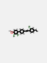 CCc1ccc(C#Cc2ccc(-c3ccc(OC)c(F)c3F)cc2)c(F)c1